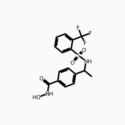 CC(NS(=O)(=O)c1ccccc1C(F)(F)F)c1ccc(C(=O)NO)cc1